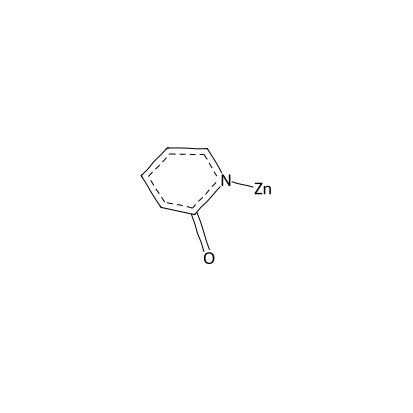 O=c1cccc[n]1[Zn]